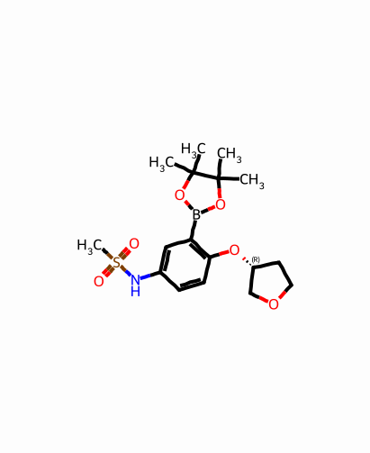 CC1(C)OB(c2cc(NS(C)(=O)=O)ccc2O[C@@H]2CCOC2)OC1(C)C